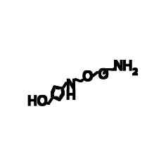 NCCOCCOCCNCc1ccc(CO)cc1